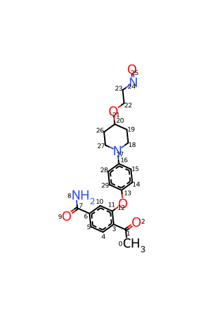 CC(=O)c1ccc(C(N)=O)cc1Oc1ccc(N2CCC(OCCN=O)CC2)cc1